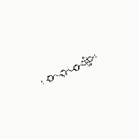 CC(=O)N1C[C@@H]2[C@H](C1)[C@H]1CN(c3ccc(CNc4ccc(OCc5ccc(C(F)(F)F)nc5)nn4)cc3)C[C@@H]21